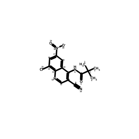 CC(C)(C)C(=O)Nc1c(C#N)cnc2c(Cl)cc([N+](=O)[O-])cc12